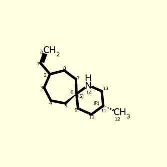 C=CC1CCC[C@]2(CC1)CC[C@@H](C)CN2